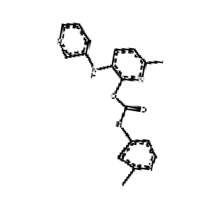 Cc1cc(NC(=O)Oc2nc(C)ccc2Nc2cccnc2)ccn1